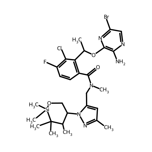 Cc1cc(CN(C)C(=O)c2ccc(F)c(Cl)c2C(C)Oc2nc(Br)cnc2N)n(C2CO[Si](C)(C)C(C)(C)C2C)n1